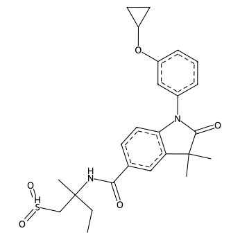 CCC(C)(C[SH](=O)=O)NC(=O)c1ccc2c(c1)C(C)(C)C(=O)N2c1cccc(OC2CC2)c1